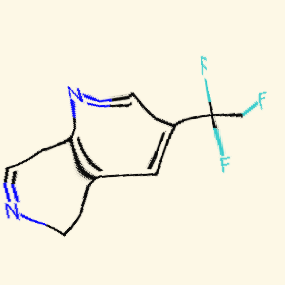 FC(F)(F)c1cnc2c(c1)CN=C2